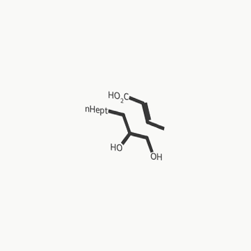 CC=CC(=O)O.CCCCCCCCC(O)CO